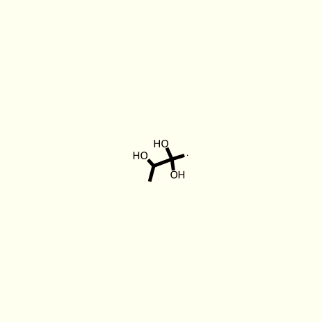 [CH2]C(O)(O)C(C)O